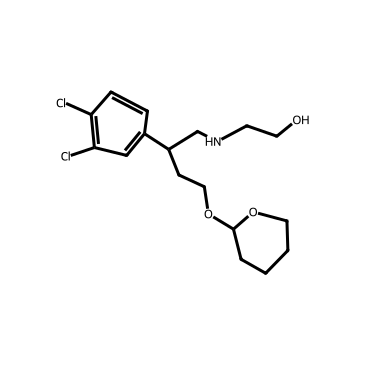 OCCNCC(CCOC1CCCCO1)c1ccc(Cl)c(Cl)c1